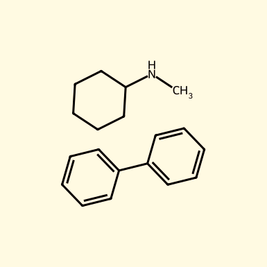 CNC1CCCCC1.c1ccc(-c2ccccc2)cc1